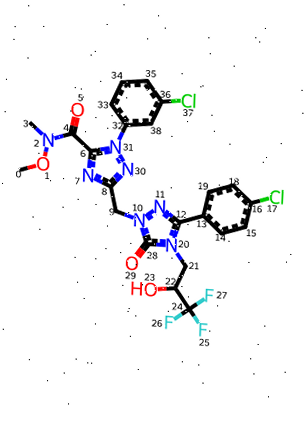 CON(C)C(=O)c1nc(Cn2nc(-c3ccc(Cl)cc3)n(CC(O)C(F)(F)F)c2=O)nn1-c1cccc(Cl)c1